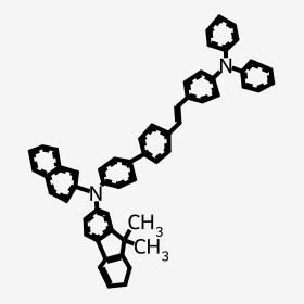 CC1(C)C2=C(C=CCC2)c2ccc(N(c3ccc(-c4ccc(/C=C/c5ccc(N(c6ccccc6)c6ccccc6)cc5)cc4)cc3)c3ccc4ccccc4c3)cc21